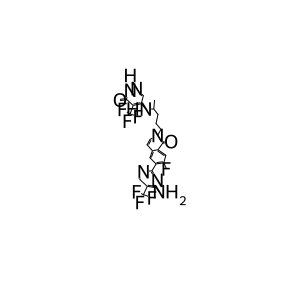 CC(CCCn1ccc2cc(-c3ncc(C(F)(F)F)c(N)n3)c(F)cc2c1=O)Nc1cn[nH]c(=O)c1C(F)(F)F